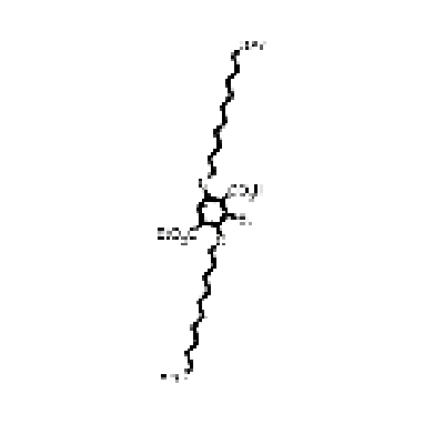 CCOC(=O)c1cc(OCCCCCCCCCCOC(C)=O)c(C(=O)O)c(CC)c1OCCCCCCCCCCOC(C)=O